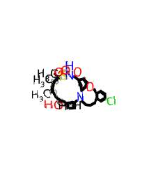 C[C@@H]1C[C@@H](O)[C@@H]2CC[C@H]2CN2CCCCc3cc(Cl)ccc3COc3ccc(cc32)C(=O)NS(=O)(=O)[C@H](C)[C@@H](C)C1